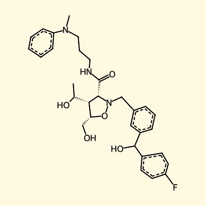 CC(O)[C@H]1[C@@H](CO)ON(Cc2cccc(C(O)c3ccc(F)cc3)c2)[C@H]1C(=O)NCCCN(C)c1ccccc1